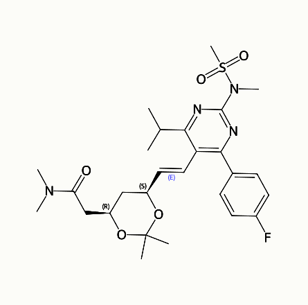 CC(C)c1nc(N(C)S(C)(=O)=O)nc(-c2ccc(F)cc2)c1/C=C/[C@@H]1C[C@H](CC(=O)N(C)C)OC(C)(C)O1